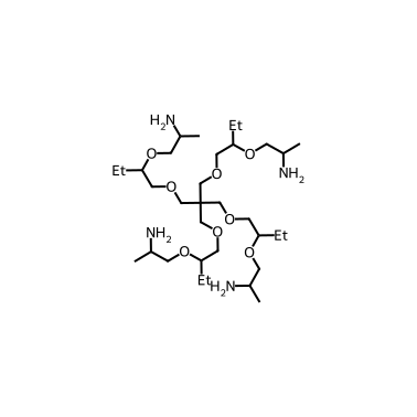 CCC(COCC(COCC(CC)OCC(C)N)(COCC(CC)OCC(C)N)COCC(CC)OCC(C)N)OCC(C)N